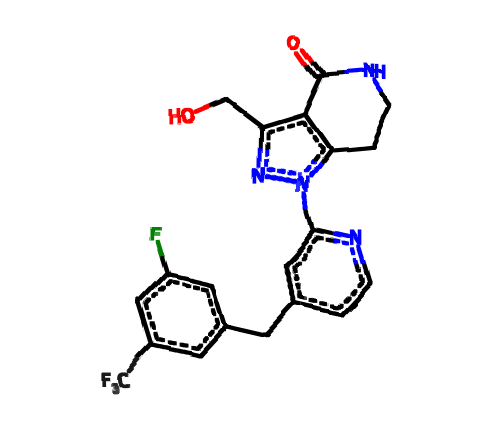 O=C1NCCc2c1c(CO)nn2-c1cc(Cc2cc(F)cc(C(F)(F)F)c2)ccn1